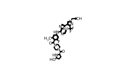 C#CCn1cc(-c2cnc3c(Nc4cc(C)c(C(=O)N5CCN(C(=O)[C@H]6CC[C@H](O)N6)CC5)c(F)c4)nccn23)c(C(F)(F)F)n1